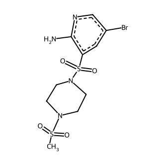 CS(=O)(=O)N1CCN(S(=O)(=O)c2cc(Br)cnc2N)CC1